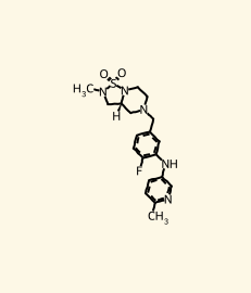 Cc1ccc(Nc2cc(CN3CCN4[C@H](C3)CN(C)S4(=O)=O)ccc2F)cn1